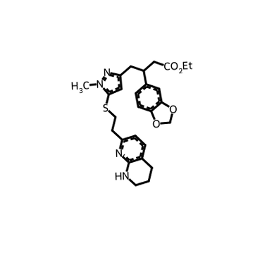 CCOC(=O)CC(Cc1cc(SCCc2ccc3c(n2)NCCC3)n(C)n1)c1ccc2c(c1)OCO2